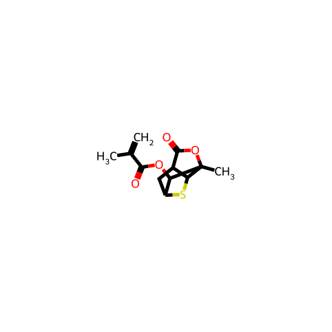 C=C(C)C(=O)OC1C2CC3C(=O)OC1(C)C3S2